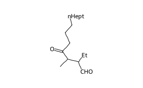 CCCCCCCCCCC(=O)C(C)C(C=O)CC